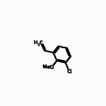 C=Cc1cccc(Cl)c1OC